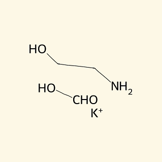 NCCO.O=[C-]O.[K+]